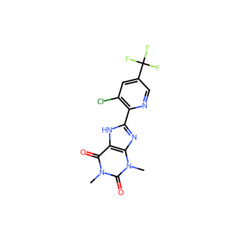 Cn1c(=O)c2[nH]c(-c3ncc(C(F)(F)F)cc3Cl)nc2n(C)c1=O